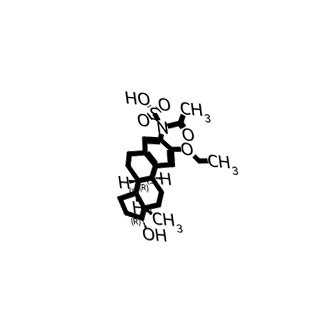 CCOc1cc2c(cc1N(C(C)=O)S(=O)(=O)O)CC[C@@H]1[C@@H]2CC[C@]2(C)[C@H](O)CC[C@@H]12